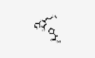 CCCc1cc(N[C@@H]2CC[C@@H](NC(=O)O)C2)n2nccc2n1